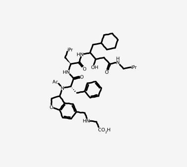 CC(=O)N(C1COc2ccc(CNCC(=O)O)cc21)[C@@H](Cc1ccccc1)C(=O)N[C@@H](CC(C)C)C(=O)NC(CC1CCCCC1)C(O)CC(=O)NCC(C)C